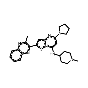 Cc1nc2ccccc2nc1-c1cc2nc(N3CCCC3)cc(NC3CCN(C)CC3)n2n1